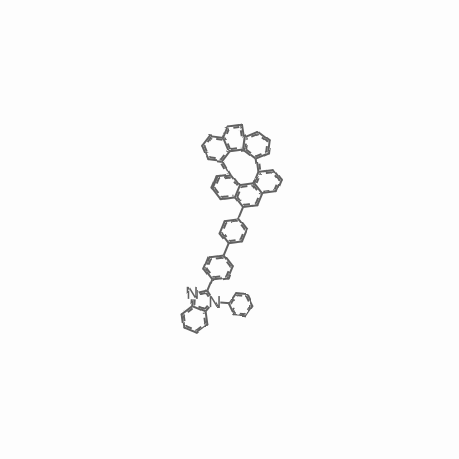 c1ccc(-n2c(-c3ccc(-c4ccc(-c5cc6cccc7c8cccc9ccc%10cccc(c%11cccc5c%11c67)c%10c98)cc4)cc3)nc3ccccc32)cc1